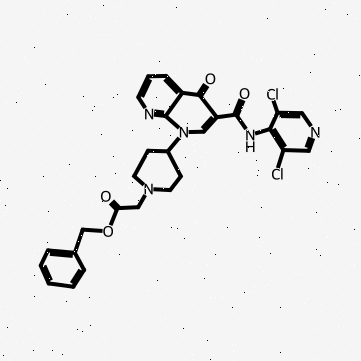 O=C(CN1CCC(n2cc(C(=O)Nc3c(Cl)cncc3Cl)c(=O)c3cccnc32)CC1)OCc1ccccc1